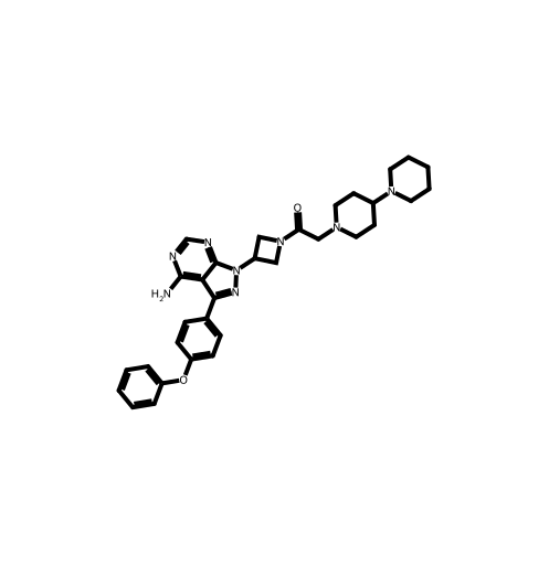 Nc1ncnc2c1c(-c1ccc(Oc3ccccc3)cc1)nn2C1CN(C(=O)CN2CCC(N3CCCCC3)CC2)C1